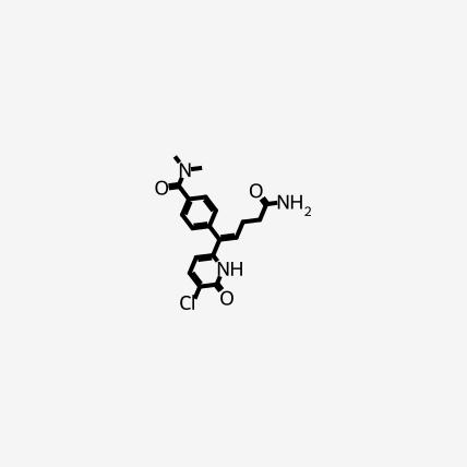 CN(C)C(=O)c1ccc(/C(=C\CCC(N)=O)c2ccc(Cl)c(=O)[nH]2)cc1